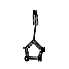 N#Cc1[c]onn1